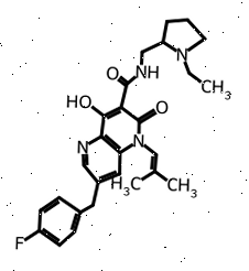 CCN1CCCC1CNC(=O)c1c(O)c2ncc(Cc3ccc(F)cc3)cc2n(C=C(C)C)c1=O